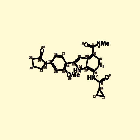 CNC(=O)c1cnc(NC(=O)C2CC2)c2[nH]c(-c3ccc(N4CCCC4=O)cc3OC)cc12